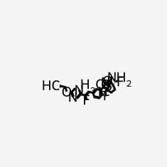 C#CCOc1cnc(/C(F)=C/c2ccc(F)c([C@@]3(C)N=C(N)[C@@]4(CF)CC[C@@H]3S4(=O)=O)c2)cn1